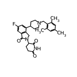 Cc1cc(C)c(CN2CCC(c3cc(F)cc4c3CN(C3CCC(=O)NC3=O)C4=O)CC2)c(C)c1